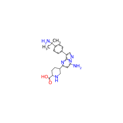 CC(C)(N)c1ccc(-c2cnn3c(N)cc(C4CCC(C(=O)O)NC4)nc23)cc1